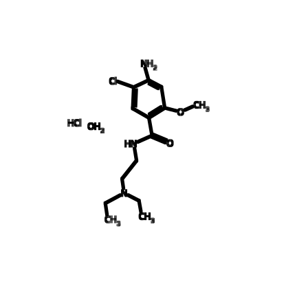 CCN(CC)CCNC(=O)c1cc(Cl)c(N)cc1OC.Cl.O